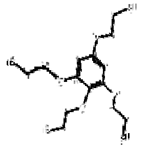 SCCOc1cc(OCCS)c(OCCS)c(OCCS)c1